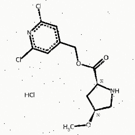 CO[C@@H]1CN[C@H](C(=O)OCc2cc(Cl)nc(Cl)c2)C1.Cl